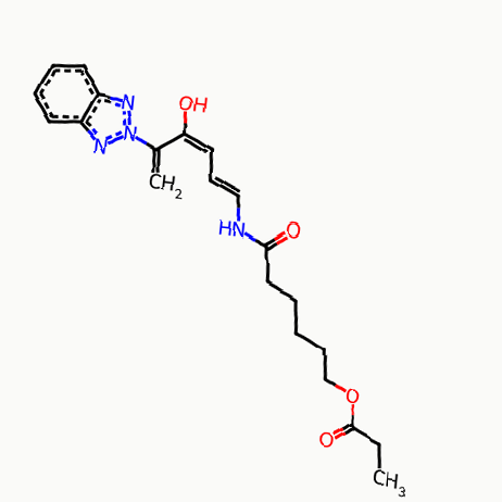 C=C(/C(O)=C\C=C\NC(=O)CCCCCOC(=O)CC)n1nc2ccccc2n1